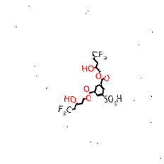 O=C(OCCC(O)CC(F)(F)F)c1cc(C(=O)OCC(O)CCC(F)(F)F)cc(S(=O)(=O)O)c1